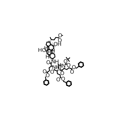 COC(=O)CCC(C)[C@H]1CC[C@H]2[C@@H]3[C@H](O)C[C@@H]4C[C@@H](NC(=O)C(CCC(=O)OCc5ccccc5)NC(=O)C(CCC(=O)OCc5ccccc5)NC(=O)C(CCC(=O)OCc5ccccc5)NC(=O)OC(C)(C)C)CC[C@]4(C)[C@H]3C[C@H](O)[C@]12C